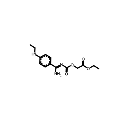 CCNc1ccc(/C(N)=N/C(=O)OCC(=O)OCC)cc1